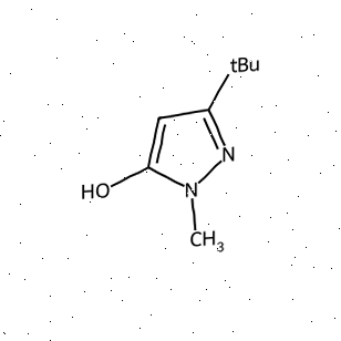 Cn1nc(C(C)(C)C)cc1O